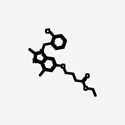 CCOC(=O)CCCOc1cc(C)c2nc(C)n(Cc3ccccc3Cl)c2c1